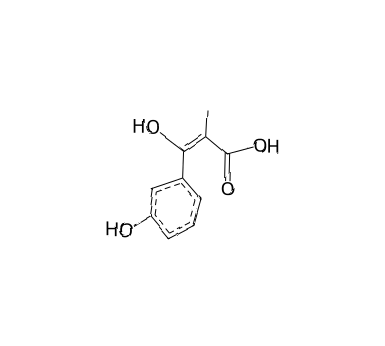 CC(C(=O)O)=C(O)c1cccc(O)c1